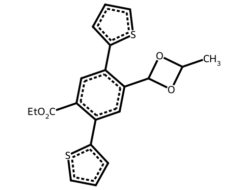 CCOC(=O)c1cc(-c2cccs2)c(C2OC(C)O2)cc1-c1cccs1